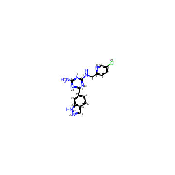 Nc1nc(NCc2ccc(Cl)cn2)nc(-c2ccc3cn[nH]c3c2)n1